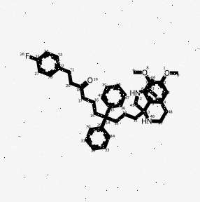 COc1cc2c(cc1OC)C(CCCC(CCCC(=O)CCc1ccc(F)cc1)(c1ccccc1)c1ccccc1)(CNC(C)C)NCC2